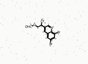 O=COCC(c1cnc2c(Br)cc(Br)cc2c1)C(F)(F)F